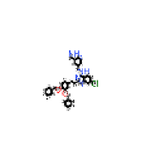 NCc1cccc(CNc2nc(/C=C/c3ccc(OCc4ccccc4)c(OCc4ccccc4)c3)nc3cc(Cl)ccc23)c1